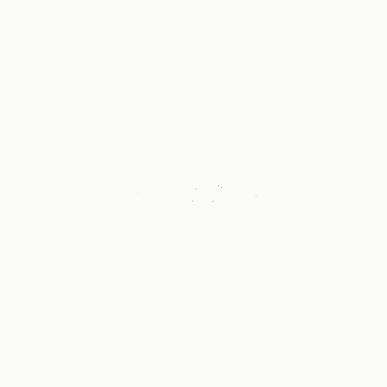 CCN1CC2CC1CN2CCOC